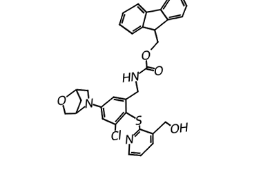 O=C(NCc1cc(N2CC3CC2CO3)cc(Cl)c1Sc1ncccc1CO)OCC1c2ccccc2-c2ccccc21